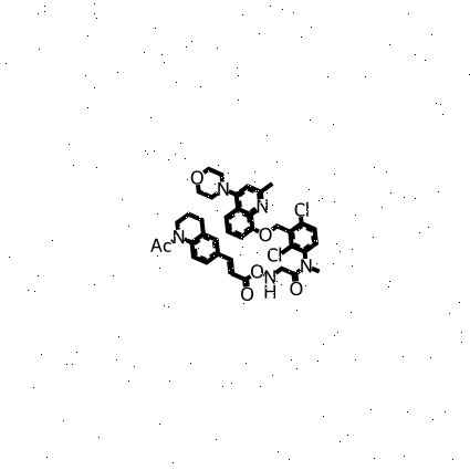 CC(=O)N1CCCc2cc(C=CC(=O)ONCC(=O)N(C)c3ccc(Cl)c(COc4cccc5c(N6CCOCC6)cc(C)nc45)c3Cl)ccc21